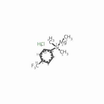 Cl.[CH3][Mg][Si](C)(C)c1ccc(C(F)(F)F)cc1